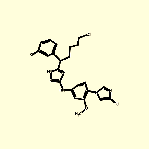 COc1cc(Nc2n[nH]c(C(CCCCCl)c3cccc(Cl)c3)n2)ccc1-n1cnc(Cl)c1